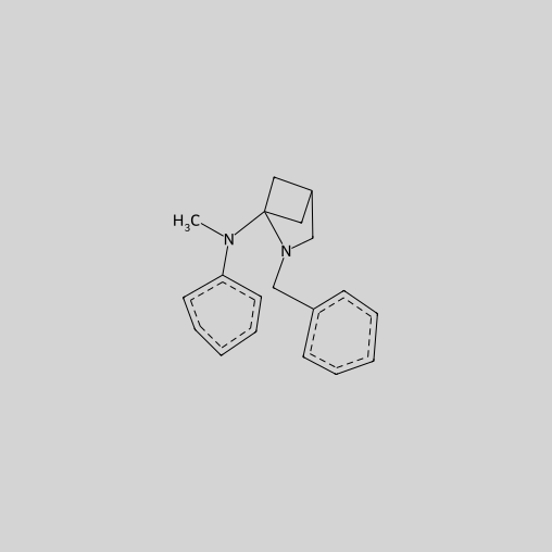 CN(c1ccccc1)C12CC(CN1Cc1ccccc1)C2